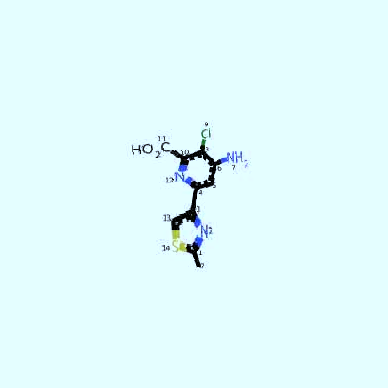 Cc1nc(-c2cc(N)c(Cl)c(C(=O)O)n2)cs1